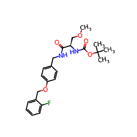 COC[C@@H](NC(=O)OC(C)(C)C)C(=O)NCc1ccc(OCc2ccccc2F)cc1